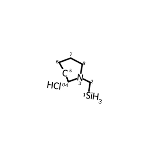 Cl.[SiH3]CN1CCCCC1